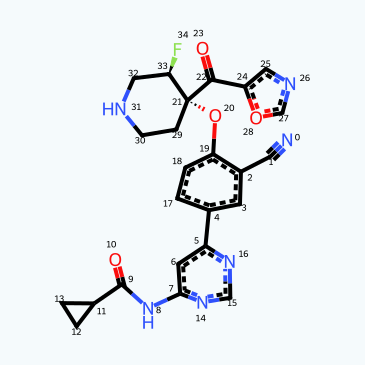 N#Cc1cc(-c2cc(NC(=O)C3CC3)ncn2)ccc1O[C@]1(C(=O)c2cnco2)CCNC[C@H]1F